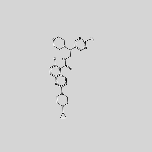 O=C(NCC(c1cnc(C(F)(F)F)nc1)N1CCOCC1)c1c(Cl)ccc2nc(N3CCN(C4CC4)CC3)ccc12